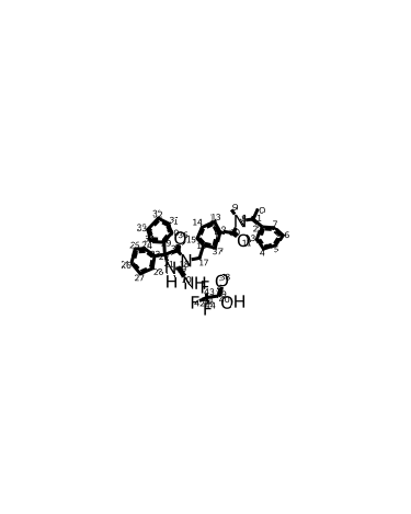 CC(c1ccccc1)N(C)C(=O)c1cccc(CN2C(=N)NC(c3ccccc3)(c3ccccc3)C2=O)c1.O=C(O)C(F)(F)F